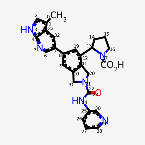 Cc1c[nH]c2ncc(-c3cc4c(c(C5CCCN5C(=O)O)c3)CN(C(=O)Nc3cccnc3)C4)cc12